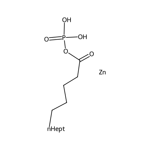 CCCCCCCCCCCC(=O)OP(=O)(O)O.[Zn]